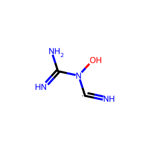 N=[C]N(O)C(=N)N